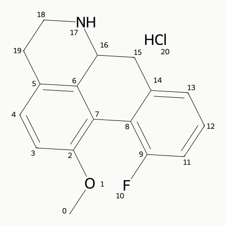 COc1ccc2c3c1-c1c(F)cccc1CC3NCC2.Cl